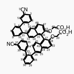 N#Cc1cccc(-c2ccccc2-c2ccc3c(-c4c(OCC(=O)O)ccc5cc(-c6ccccc6-c6cccc(C#N)c6)ccc45)c(OCC(=O)O)ccc3c2)c1